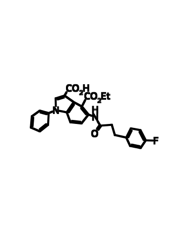 CCOC(=O)c1c(NC(=O)CCc2ccc(F)cc2)ccc2c1c(C(=O)O)cn2-c1ccccc1